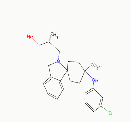 C[C@@H](CO)CN1Cc2ccccc2C12CCC(Nc1cccc(Cl)c1)(C(=O)O)CC2